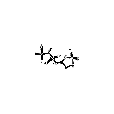 CN(S(C)(=O)=O)S(=O)(=O)OC1COS(=O)(=O)O1